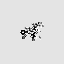 CCOc1ccccc1[C@H](Cn1c(=O)n(C(C)(C)C(=O)O[Si](C)(C)C(C)(C)C)c(=O)c2c(C)c(Br)sc21)OC(C)C